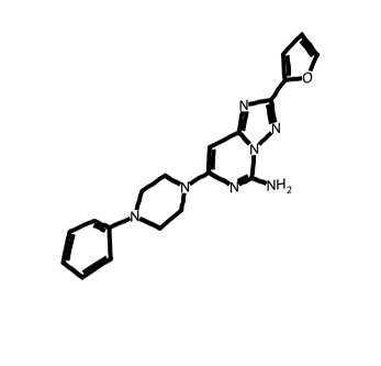 Nc1nc(N2CCN(c3ccccc3)CC2)cc2nc(-c3ccco3)nn12